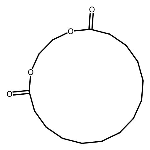 O=C1CCCCCCCCCCCCC(=O)OCCO1